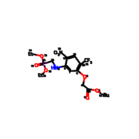 CCCCOC(=O)COc1cc(NCP(=O)(OCC)OCC)c([N+](=O)[O-])cc1C(F)(F)F